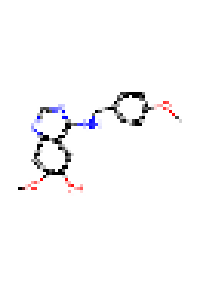 COc1ccc(CNc2ncnc3cc(OC)c(O)cc23)cc1